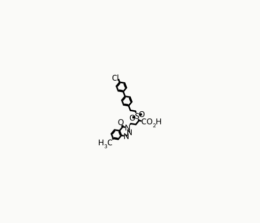 Cc1ccc2c(=O)n(CCC(C(=O)O)S(=O)(=O)CCc3ccc(-c4ccc(Cl)cc4)cc3)nnc2c1